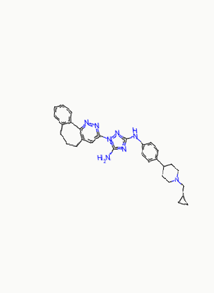 Nc1nc(Nc2ccc(C3CCN(CC4CC4)CC3)cc2)nn1-c1cc2c(nn1)-c1ccccc1CCC2